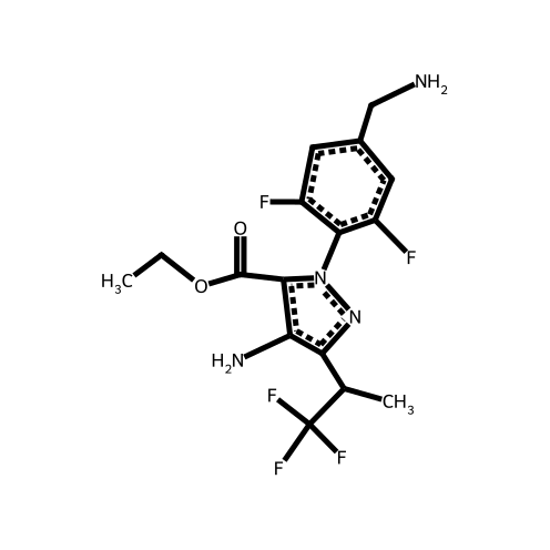 CCOC(=O)c1c(N)c(C(C)C(F)(F)F)nn1-c1c(F)cc(CN)cc1F